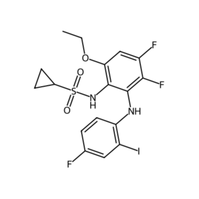 CCOc1cc(F)c(F)c(Nc2ccc(F)cc2I)c1NS(=O)(=O)C1CC1